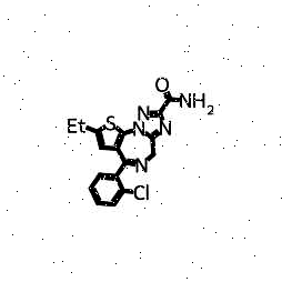 CCc1cc2c(s1)-n1nc(C(N)=O)nc1CN=C2c1ccccc1Cl